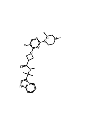 C[C@H]1CN(C)CCN1c1ncc(F)c(N2CC(C(=O)N(C)C(C)(C)c3cnc4ccccn34)C2)n1